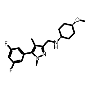 CO[C@H]1CC[C@@H](NCc2nn(C)c(-c3cc(F)cc(F)c3)c2C)CC1